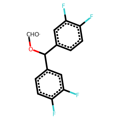 O=[C]OC(c1ccc(F)c(F)c1)c1ccc(F)c(F)c1